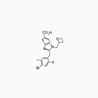 Cc1cc(Cc2nc3sc(C(=O)O)cc3n2CC2CCO2)c(F)cc1Br